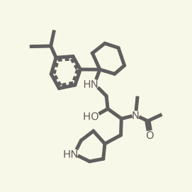 CC(=O)N(C)C(CC1CCNCC1)C(O)CNC1(c2cccc(C(C)C)c2)CCCCC1